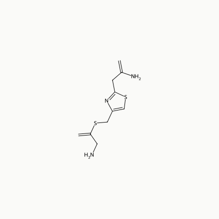 C=C(N)Cc1nc(CSC(=C)CN)cs1